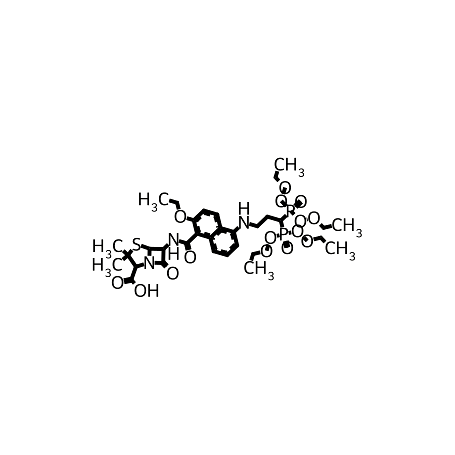 CCOOP(=O)(OOCC)C(CCNc1cccc2c(C(=O)NC3C(=O)N4C3SC(C)(C)C4C(=O)O)c(OCC)ccc12)P(=O)(OOCC)OOCC